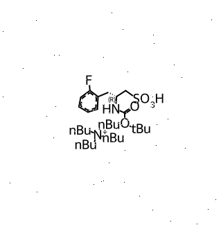 CC(C)(C)OC(=O)N[C@H](Cc1ccccc1F)CS(=O)(=O)O.CCCC[N+](CCCC)(CCCC)CCCC